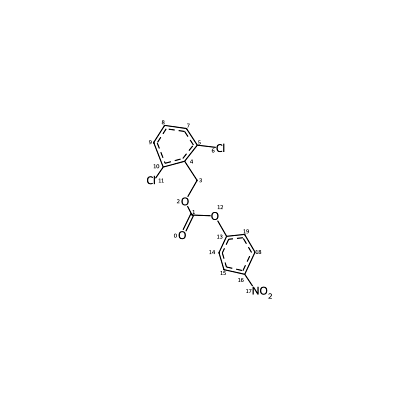 O=C(OCc1c(Cl)cccc1Cl)Oc1ccc([N+](=O)[O-])cc1